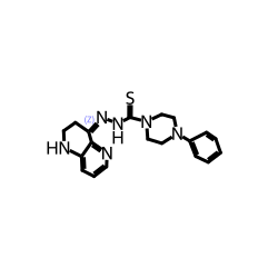 S=C(N/N=C1/CCNc2cccnc21)N1CCN(c2ccccc2)CC1